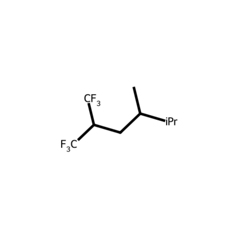 CC(C)C(C)CC(C(F)(F)F)C(F)(F)F